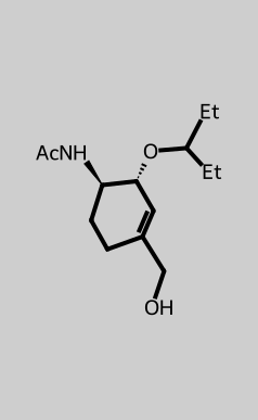 CCC(CC)O[C@@H]1C=C(CO)CC[C@H]1NC(C)=O